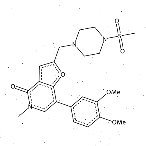 COc1ccc(-c2cn(C)c(=O)c3cc(CN4CCN(S(C)(=O)=O)CC4)oc23)cc1OC